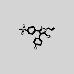 C=CCn1nc(-c2ccc(S(C)(=O)=O)cc2)c(-c2ccc(Cl)cc2)c1C#N